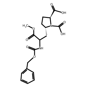 COC(=O)C(C[C@@H]1CC[C@@H](C(=O)O)N1C(=O)O)NC(=O)OCc1ccccc1